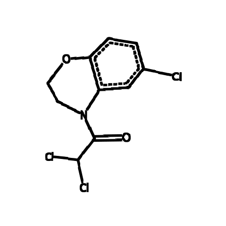 O=C(C(Cl)Cl)N1CCOc2ccc(Cl)cc21